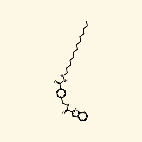 CCCCCCCCCCCCCCNNC(=O)c1ccc(CNC(=O)c2cc3ccccc3o2)cc1